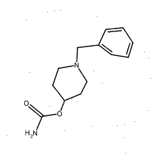 NC(=O)OC1CCN(Cc2ccccc2)CC1